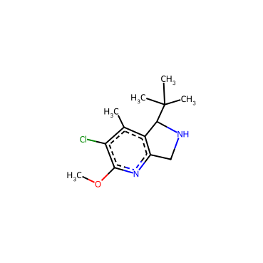 COc1nc2c(c(C)c1Cl)C(C(C)(C)C)NC2